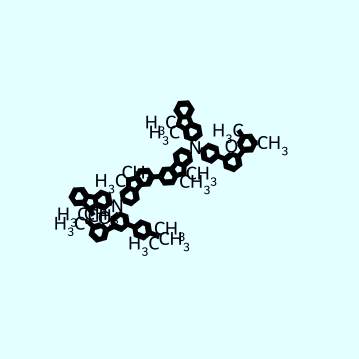 Cc1cc(C)c2oc3c(-c4ccc(N(c5ccc6c(c5)C(C)(C)c5ccccc5-6)c5ccc6c(c5)C(C)(C)c5ccc(-c7ccc8c(c7)-c7ccc(N(c9ccc%10c(c9)C(C)(C)c9ccccc9-%10)c9cc(-c%10ccc(C(C)(C)C)cc%10)cc%10c9oc9c(C(C)C)cccc9%10)cc7C8(C)C)cc5-6)cc4)cccc3c2c1